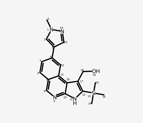 Cn1cc(-c2ccc3cnc4[nH]c([Si](C)(C)C)c(CO)c4c3c2)cn1